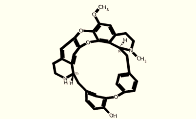 COc1cc2c3c4c1Oc1cc5c(cc1O4)[C@H](Cc1ccc(O)c(c1)Oc1ccc(cc1)C[C@@H]3N(C)CC2)NCC5